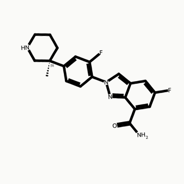 C[C@@]1(c2ccc(-n3cc4cc(F)cc(C(N)=O)c4n3)c(F)c2)CCCNC1